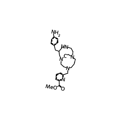 COC(=O)c1cccc(CN2CCCN3CCNCC(Cc4ccc(N)cc4)CN(CC3)CC2)n1